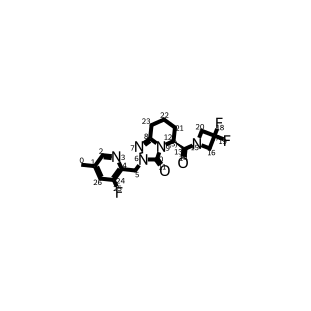 Cc1cnc(Cn2nc3n(c2=O)[C@H](C(=O)N2CC(F)(F)C2)CCC3)c(F)c1